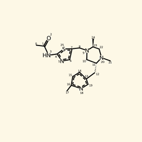 CC(=O)Nc1ncc(CN2C[C@@H](Cc3ccc(C)nc3)N(C)C[C@@H]2C)s1